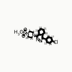 CS(=O)(=O)N1CCN(c2nnc(-c3ccc(Cl)cc3)c3ccccc23)CC1